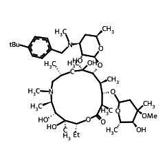 CC[C@H]1OC(=O)[C@H](C)[C@@H](OC2C[C@@](C)(OC)[C@@H](O)[C@H](C)O2)[C@H](C)[C@@H](O[C@@H]2O[C@H](C)C[C@H](N(C)Cc3ccc(C(C)(C)C)cc3)[C@H]2O)[C@](C)(O)C[C@@H](C)CN(C)[C@H](C)[C@@H](O)[C@]1(C)O